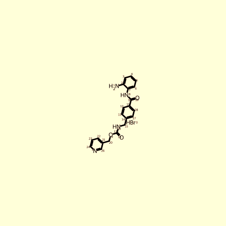 Br.Nc1ccccc1NC(=O)c1ccc(CNC(=O)OCc2cccnc2)cc1